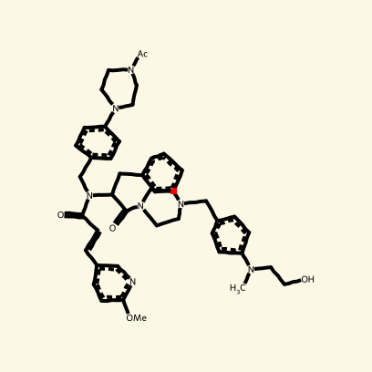 COc1ccc(C=CC(=O)N(Cc2ccc(N3CCN(C(C)=O)CC3)cc2)C(Cc2ccccc2)C(=O)N2CCN(Cc3ccc(N(C)CCO)cc3)CC2)cn1